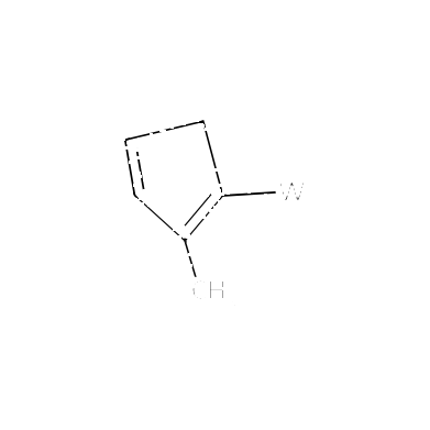 CC1=[C]([W])CC=C1